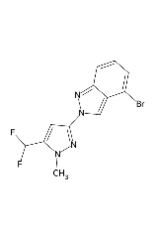 Cn1nc(-n2cc3c(Br)cccc3n2)cc1C(F)F